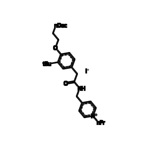 CCCCCCCCCCCCOc1ccc(CC(=O)NCc2cc[n+](CCC)cc2)cc1C(C)(C)C.[I-]